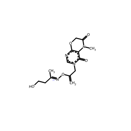 C=C(Cn1cnc2c(c1=O)N(C)C(=O)CO2)O/N=C(\C)CCO